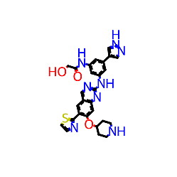 O=C(CO)Nc1cc(Nc2ncc3cc(-c4nccs4)c(OC4CCNCC4)cc3n2)cc(-c2cn[nH]c2)c1